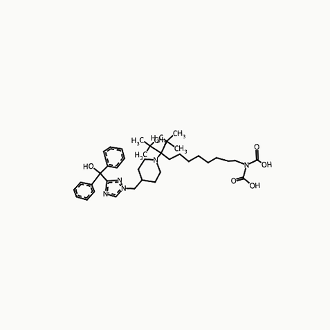 CC(C)(C)C(CCCCCCCCN(C(=O)O)C(=O)O)(N1CCC(Cn2cnc(C(O)(c3ccccc3)c3ccccc3)n2)CC1)C(C)(C)C